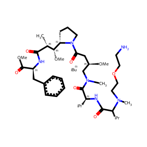 CC[C@H](C)C([C@@H](CC(=O)N1CCC[C@H]1[C@H](OC)[C@@H](C)C(=O)N[C@@H](Cc1ccccc1)C(=O)OC)OC)N(C)C(=O)[C@@H](NC(=O)C(C(C)C)N(C)CCOCCN)C(C)C